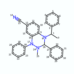 CC(c1ccccc1)N1c2ccc(C#N)cc2N(c2ccccc2)N(C)C1c1ccccc1